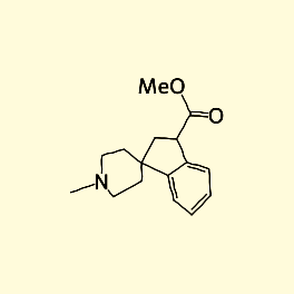 COC(=O)C1CC2(CCN(C)CC2)c2ccccc21